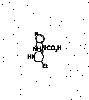 CC[C@H]1CNC[C@@H](N(C(=O)O)c2ccncc2N)C1